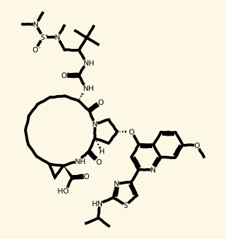 COc1ccc2c(O[C@@H]3C[C@H]4C(=O)N[C@]5(C(=O)O)CC5CCCCCCC[C@H](NC(=O)NC(CN(C)[S+]([O-])N(C)C)C(C)(C)C)C(=O)N4C3)cc(-c3csc(NC(C)C)n3)nc2c1